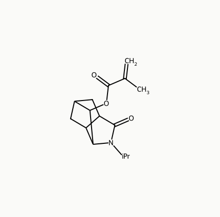 C=C(C)C(=O)OC1C2CC3C(=O)N(C(C)C)C1C3C2